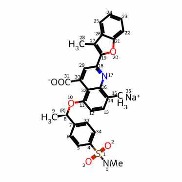 CNS(=O)(=O)c1ccc([C@@H](C)Oc2ccc(C)c3nc(-c4oc5ccccc5c4C)cc(C(=O)[O-])c23)cc1.[Na+]